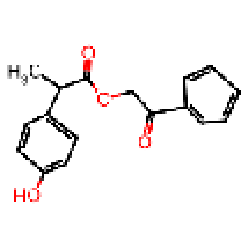 CC(C(=O)OCC(=O)c1ccccc1)c1ccc(O)cc1